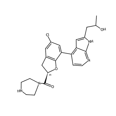 CC(O)Cc1cc2c(-c3cc(Cl)cc4c3O[C@@H](C(=O)N3CCNCC3)C4)ccnc2[nH]1